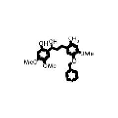 COc1cc(O)c(C(O)CCc2cc(OCc3ccccc3)c(OC)cc2C)cc1OC